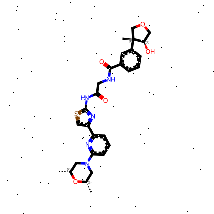 C[C@@H]1CN(c2cccc(-c3csc(NC(=O)CNC(=O)c4cccc([C@]5(C)COC[C@H]5O)c4)n3)n2)C[C@H](C)O1